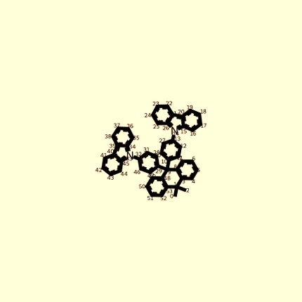 CC1(C)c2ccccc2C(c2ccc(-n3c4ccccc4c4ccccc43)cc2)(c2ccc(-n3c4ccccc4c4ccccc43)cc2)c2ccccc21